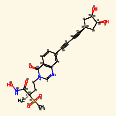 C[C@@](CCn1cnc2cc(C#CC#C[C@H]3C[C@@H](O)[C@@H](O)C3)ccc2c1=O)(C(=O)NO)S(C)(=O)=O